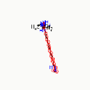 CCCCc1nc2c(N)nnc(OC(C)C)c2n1C[C@H]1CC[C@H](CNC(=O)CCOCCOCCOCCOCCOCCOCCOCCOCCOCCOCCOCCOCCNC(=O)CCN2C(=O)C=CC2=O)CC1